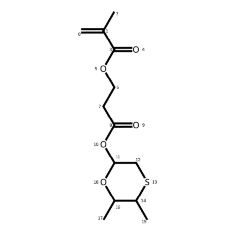 C=C(C)C(=O)OCCC(=O)OC1CSC(C)C(C)O1